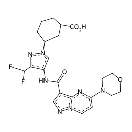 O=C(Nc1cn(C2CCCC(C(=O)O)C2)nc1C(F)F)c1cnn2ccc(N3CCOCC3)nc12